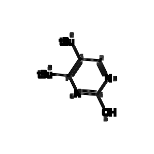 CC(C)(C)c1cnc(O)nc1C(C)(C)C